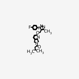 Cc1nnn(-c2ccc(F)cc2)c1COc1ccc2c(n1)CN(C(=O)CC(C)C)C2